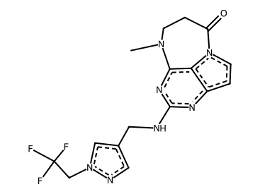 CN1CCC(=O)n2ccc3nc(NCc4cnn(CC(F)(F)F)c4)nc1c32